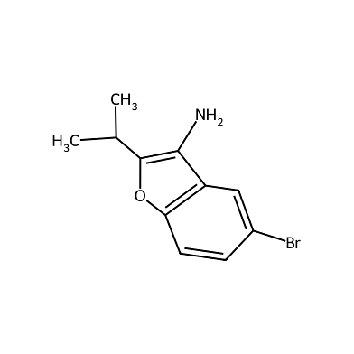 CC(C)c1oc2ccc(Br)cc2c1N